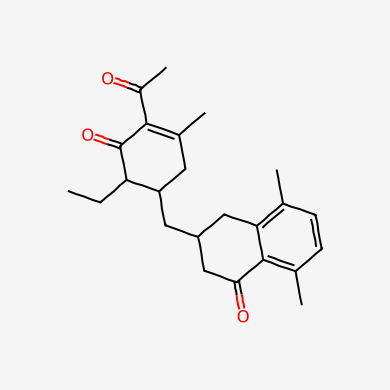 CCC1C(=O)C(C(C)=O)=C(C)CC1CC1CC(=O)c2c(C)ccc(C)c2C1